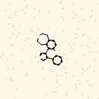 Clc1ccc2c(c1-c1c[nH]cc1-c1ccccc1)CCNCC2